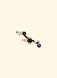 Cc1cccc(CC/C=C/[C@@H]2[C@H]3CC(CCSCC(=O)N4CCCCC4)=C[C@H]3C[C@H]2O)c1